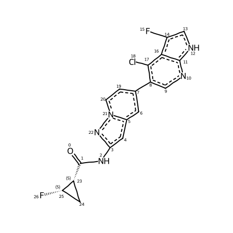 O=C(Nc1cc2cc(-c3cnc4[nH]cc(F)c4c3Cl)ccn2n1)[C@@H]1C[C@@H]1F